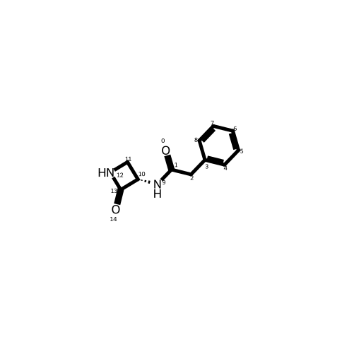 O=C(Cc1ccccc1)N[C@H]1CNC1=O